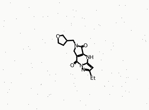 CCc1cc2[nH]c3c(c(=O)n2n1)CN(CC1CCOC1)C3=O